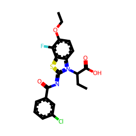 CCOc1ccc2c(sc(=NC(=O)c3cccc(Cl)c3)n2C(CC)C(=O)O)c1F